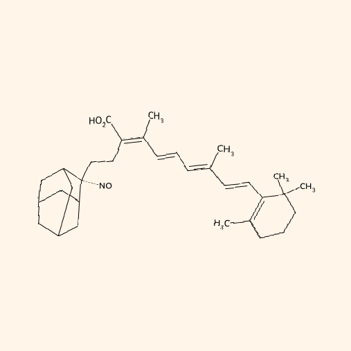 CC1=C(/C=C/C(C)=C/C=C/C(C)=C(\CCC2(N=O)C3CC4CC(C3)CC2C4)C(=O)O)C(C)(C)CCC1